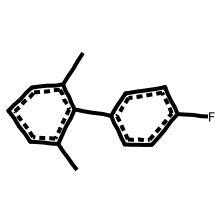 Cc1cccc(C)c1-c1ccc(F)cc1